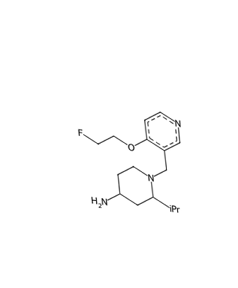 CC(C)C1CC(N)CCN1Cc1cnccc1OCCF